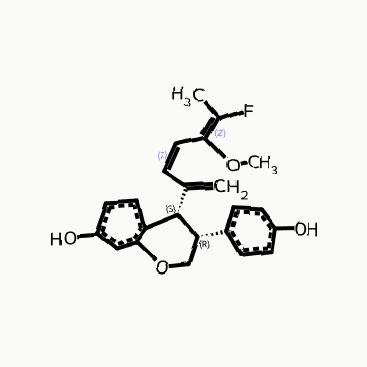 C=C(/C=C\C(OC)=C(/C)F)[C@H]1c2ccc(O)cc2OC[C@H]1c1ccc(O)cc1